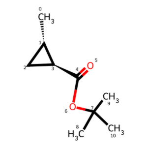 C[C@H]1C[C@@H]1C(=O)OC(C)(C)C